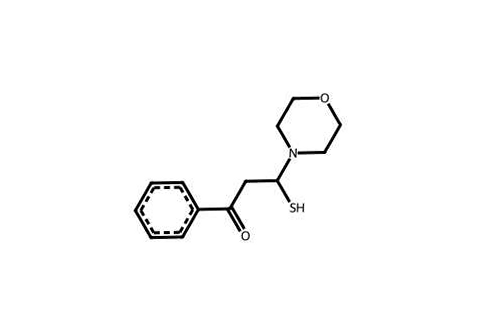 O=C(CC(S)N1CCOCC1)c1ccccc1